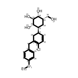 CCOc1ccc(CC2=C(Cl)C=CC([C@@H]3C[C@@H](CO)[C@@H](O)[C@H](O)[C@H]3O)C2)cc1